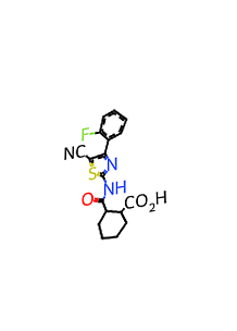 N#Cc1sc(NC(=O)C2CCCCC2C(=O)O)nc1-c1ccccc1F